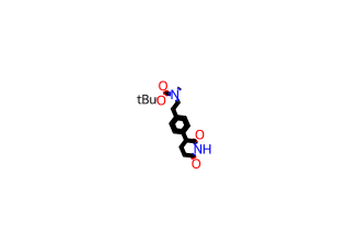 CN(CCc1ccc(C2CCC(=O)NC2=O)cc1)C(=O)OC(C)(C)C